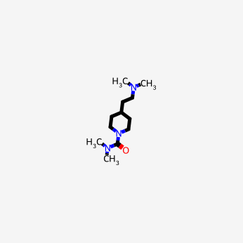 CN(C)CCC1CCN(C(=O)N(C)C)CC1